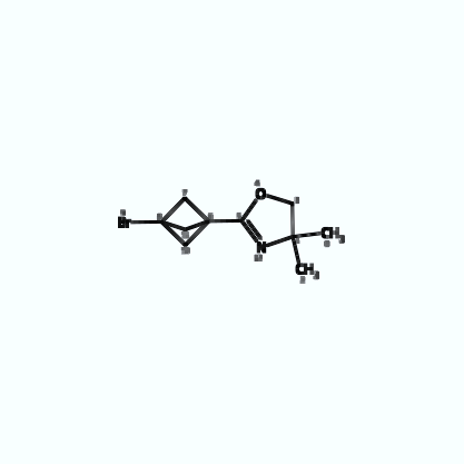 CC1(C)COC(C23CC(Br)(C2)C3)=N1